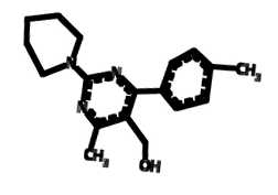 Cc1ccc(-c2nc(N3CCCCC3)nc(C)c2CO)cc1